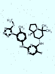 CSc1nnnn1-c1cc(Nc2ncc(F)c(N[C@@H]3C[C@@H]4CCCN4C(C)(C)C3)n2)ccc1C